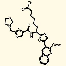 CCC(=O)CCCCC[C@H](NC(=O)c1cnc(CN2CCCC2)s1)c1ncc(-c2cc3ccccc3nc2OC)o1